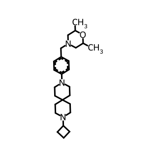 CC1CN(Cc2ccc(N3CCC4(CC3)CCN(C3CCC3)CC4)cc2)CC(C)O1